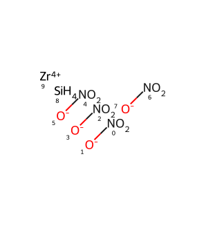 O=[N+]([O-])[O-].O=[N+]([O-])[O-].O=[N+]([O-])[O-].O=[N+]([O-])[O-].[SiH4].[Zr+4]